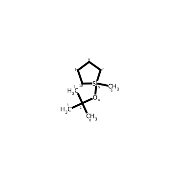 CC(C)(C)O[Si]1(C)CCCC1